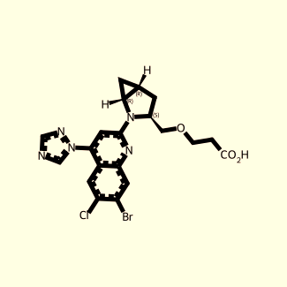 O=C(O)CCOC[C@@H]1C[C@H]2C[C@H]2N1c1cc(-n2cncn2)c2cc(Cl)c(Br)cc2n1